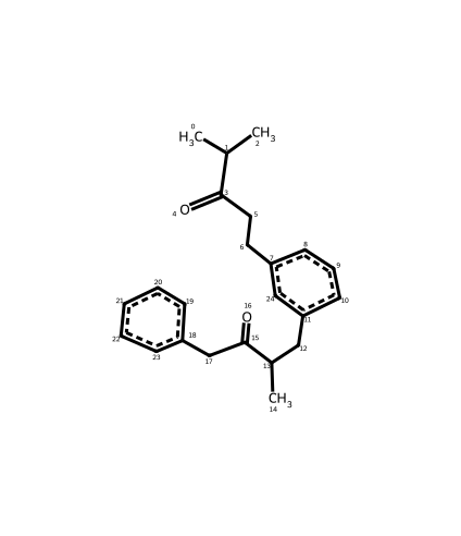 CC(C)C(=O)CCc1cccc(CC(C)C(=O)Cc2ccccc2)c1